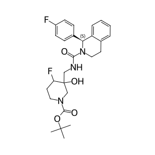 CC(C)(C)OC(=O)N1CCC(F)C(O)(CNC(=O)N2CCc3ccccc3[C@@H]2c2ccc(F)cc2)C1